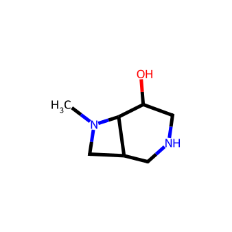 CN1CC2CNCC(O)C21